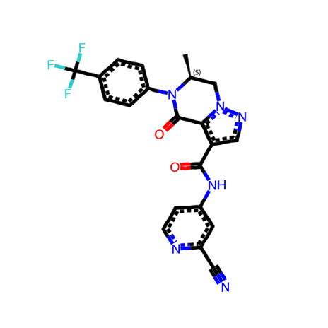 C[C@H]1Cn2ncc(C(=O)Nc3ccnc(C#N)c3)c2C(=O)N1c1ccc(C(F)(F)F)cc1